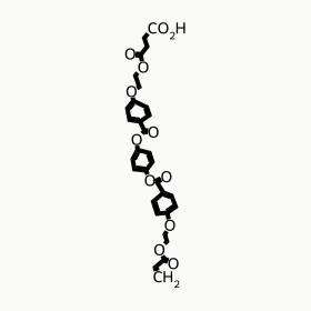 C=CC(=O)OCCOc1ccc(C(=O)Oc2ccc(OC(=O)c3ccc(OCCOC(=O)CCC(=O)O)cc3)cc2)cc1